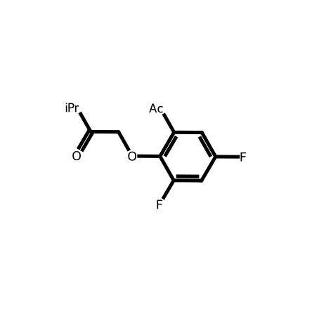 CC(=O)c1cc(F)cc(F)c1OCC(=O)C(C)C